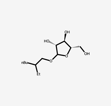 CCCCC(CC)COC1O[C@@H](CO)[C@H](O)[C@H]1O